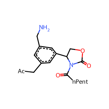 CCCCCC(=O)N1C(=O)OCC1c1cc(CN)cc(CC(C)=O)c1